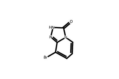 O=c1[nH]nc2c(Br)cccn12